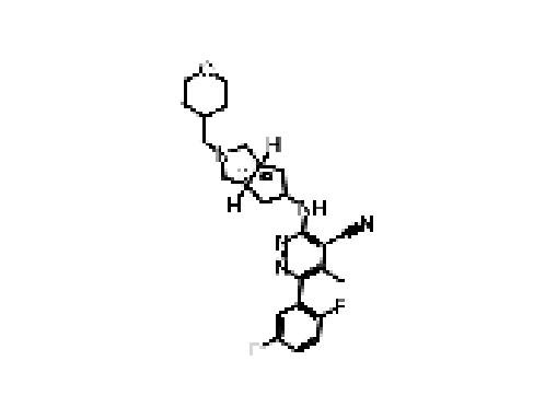 Cc1c(-c2cc(F)ccc2F)nnc(NC2C[C@@H]3CN(CC4CCOCC4)C[C@@H]3C2)c1C#N